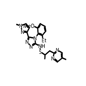 CCc1cccc(OC)c1-n1c(NSC(C)Cc2ncc(C)cn2)nnc1-c1ccn(C)n1